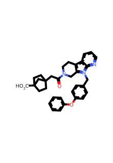 O=C(CC12CCC(C(=O)O)(CC1)C2)N1CCc2c(n(Cc3ccc(Oc4ccccc4)cc3)c3ncccc23)C1